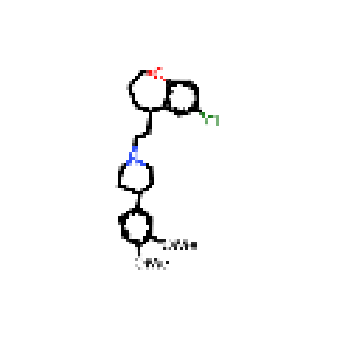 COc1ccc(C2CCN(CCC3CCCOc4ccc(Cl)cc43)CC2)cc1OC